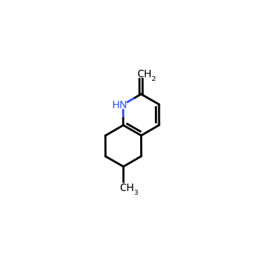 C=C1C=CC2=C(CCC(C)C2)N1